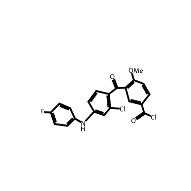 COc1ccc(C(=O)Cl)cc1C(=O)c1ccc(Nc2ccc(F)cc2)cc1Cl